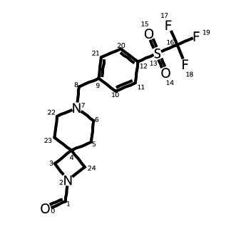 O=CN1CC2(CCN(Cc3ccc(S(=O)(=O)C(F)(F)F)cc3)CC2)C1